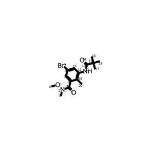 CON(C)C(=O)c1cc(Br)cc(NC(=O)C(C)(C)C)c1C